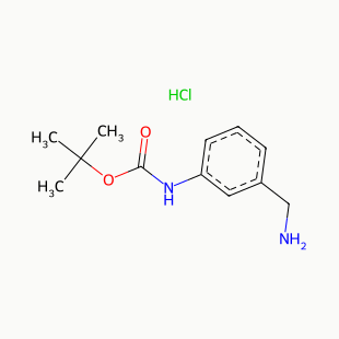 CC(C)(C)OC(=O)Nc1cccc(CN)c1.Cl